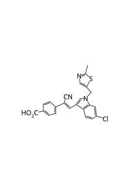 Cc1ncc(Cn2cc(/C=C(\C#N)c3ccc(C(=O)O)cc3)c3ccc(Cl)cc32)s1